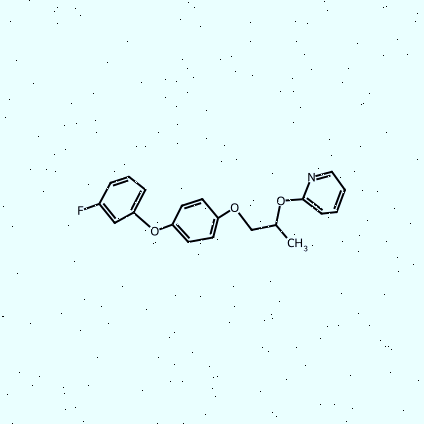 CC(COc1ccc(Oc2cccc(F)c2)cc1)Oc1ccccn1